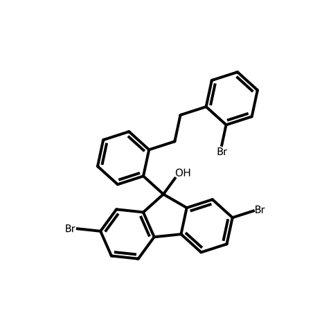 OC1(c2ccccc2CCc2ccccc2Br)c2cc(Br)ccc2-c2ccc(Br)cc21